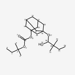 CCC(C)(C)OC(=O)OC12CC3CC(C1)CC(OC(O)C(C)(C)CC)(C3)C2